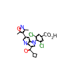 Cc1noc(C)c1-c1cnc2c(C(=O)C3CCC3)cn(-c3c(Cl)cc(C(=O)O)cc3Cl)c2c1